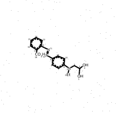 CCN(CC(O)O)c1ccc(N=Nc2ccccc2C(=O)O)cc1